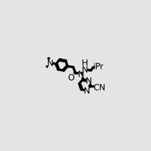 CC(C)CNN(C(=O)Cc1ccc(N(C)C)cc1)c1ccnc(C#N)n1